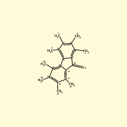 Cc1c(C)c(C)c2c(c1C)C(=O)c1c(C)c(C)c(C)c(C)c1-2